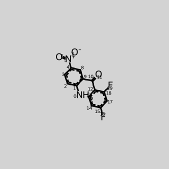 Nc1ccc([N+](=O)[O-])cc1C(=O)c1ccc(F)cc1F